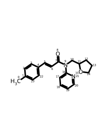 Cc1ccc(/C=C/C(=O)N(CC2CCCO2)c2ccccn2)cc1